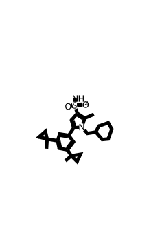 Cc1c(S(N)(=O)=O)cc(-c2cc(C3(C)CC3)cc(C3(C)CC3)c2)n1CC1CCCCC1